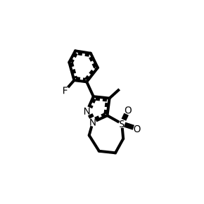 Cc1c(-c2ccccc2F)nn2c1S(=O)(=O)CCCC2